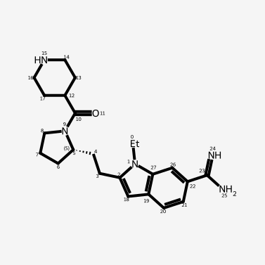 CCn1c(CC[C@@H]2CCCN2C(=O)C2CCNCC2)cc2ccc(C(=N)N)cc21